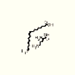 CCCCCCCC/C=C\CCCCCCCC(=O)O.NCCC[C@H](N)C(=O)O